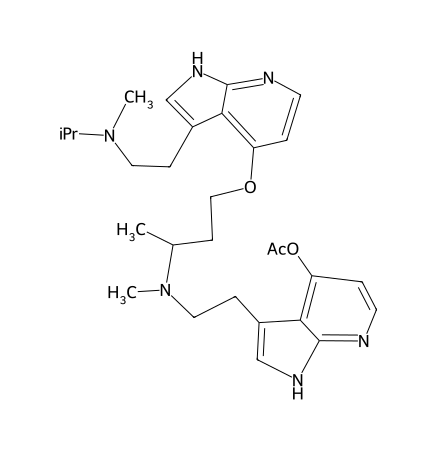 CC(=O)Oc1ccnc2[nH]cc(CCN(C)C(C)CCOc3ccnc4[nH]cc(CCN(C)C(C)C)c34)c12